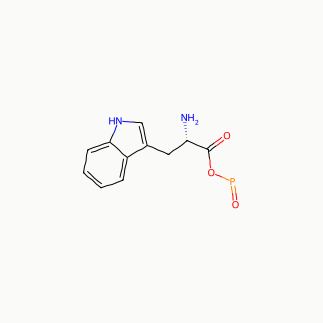 N[C@@H](Cc1c[nH]c2ccccc12)C(=O)OP=O